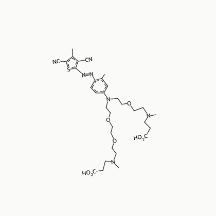 Cc1cc(N(CCOCCOCCN(C)CCC(=O)O)CCOCCN(C)CCC(=O)O)ccc1/N=N/c1sc(C#N)c(C)c1C#N